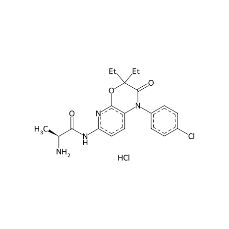 CCC1(CC)Oc2nc(NC(=O)[C@H](C)N)ccc2N(c2ccc(Cl)cc2)C1=O.Cl